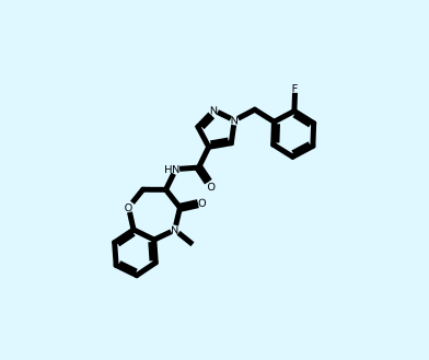 CN1C(=O)C(NC(=O)c2cnn(Cc3ccccc3F)c2)COc2ccccc21